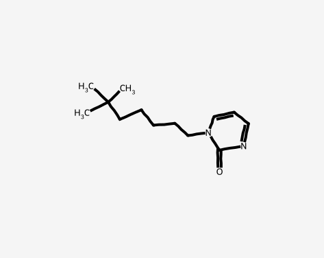 CC(C)(C)CCCCCn1cccnc1=O